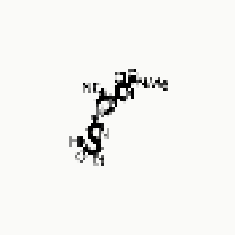 CCc1cc2ncc(CN3CCN(c4cnc(C(=O)NC)c(Cl)c4)C(CC#N)C3)cc2[nH]c1=O